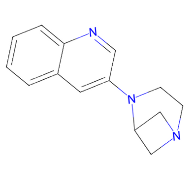 c1ccc2ncc(N3CCN4CC3C4)cc2c1